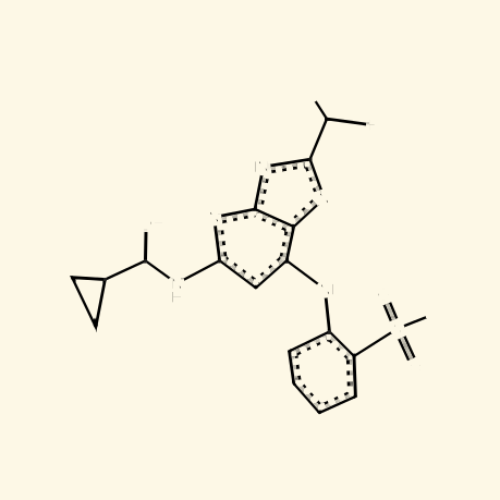 CS(=O)(=O)c1ccccc1Nc1cc(NC(O)C2CC2)nc2[nH]c(C(F)F)nc12